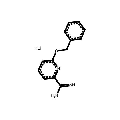 Cl.N=C(N)c1cccc(OCc2ccccc2)n1